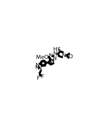 COc1nc(N[C@H]2CCN(C3COC3)C[C@@H]2F)nn2ccc(-c3ccc4nnn(CCC(F)F)c4c3)c12